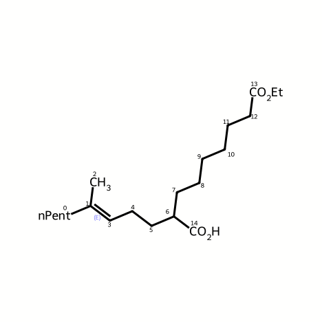 CCCCC/C(C)=C/CCC(CCCCCCC(=O)OCC)C(=O)O